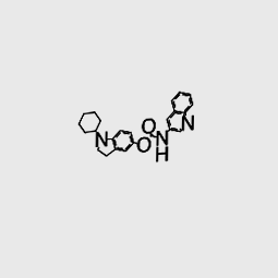 O=C(Nc1cnc2ccccc2c1)Oc1ccc2c(c1)CCN2C1CCCCC1